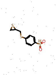 O=[SH](=O)c1ccc(SCC2CS2)cc1